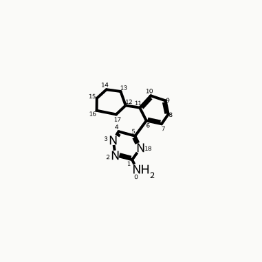 Nc1nncc(-c2ccccc2C2CCCCC2)n1